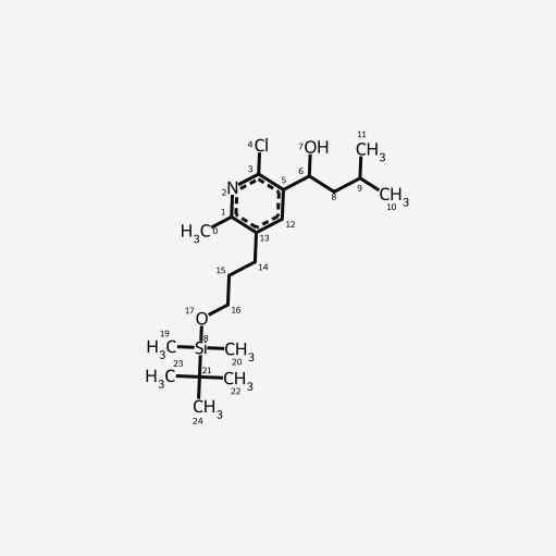 Cc1nc(Cl)c(C(O)CC(C)C)cc1CCCO[Si](C)(C)C(C)(C)C